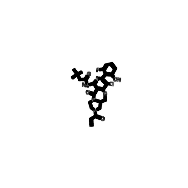 C=CC(=O)N1CCN2C(=O)c3c(NC(=O)CC(C)(C)C)nc(-c4c(O)cccc4F)c(Cl)c3OCC2C1